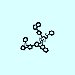 c1ccc(-c2cc3nc(-n4c5ccc(-c6ccc7c8ccccc8n(-c8ccccc8)c7c6)cc5c5cc6ccccc6cc54)nc(-c4ccc(-c5cccc6ccccc56)cc4)c3s2)cc1